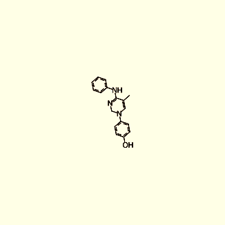 CC1=CN(c2ccc(O)cc2)CN=C1Nc1ccccc1